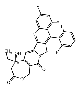 CC[C@@]1(O)CC(=O)OCc2c1cc1n(c2=O)Cc2c-1nc1cc(F)cc(F)c1c2-c1c(F)cccc1F